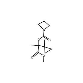 COC(=O)C(C)(OC(=O)N1CCC1)C1(C)CC1